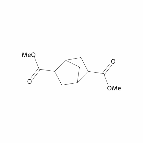 COC(=O)C1CC2CC1CC2C(=O)OC